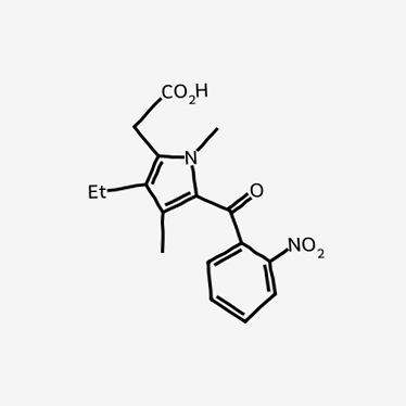 CCc1c(C)c(C(=O)c2ccccc2[N+](=O)[O-])n(C)c1CC(=O)O